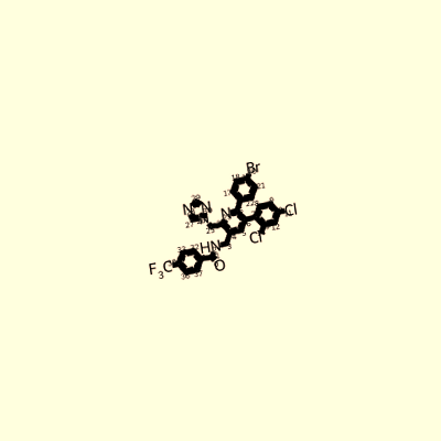 O=C(NCc1cc(-c2ccc(Cl)cc2Cl)c(-c2ccc(Br)cc2)nc1Cn1cncn1)c1ccc(C(F)(F)F)cc1